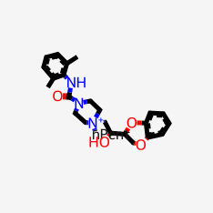 CCCCC[N+]1(CC(O)C2COc3ccccc3O2)CCN(C(=O)Nc2c(C)cccc2C)CC1